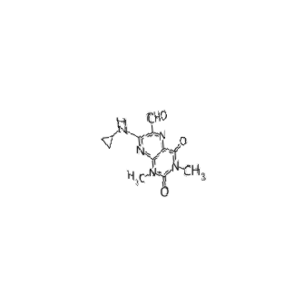 Cn1c(=O)c2nc(C=O)c(NC3CC3)nc2n(C)c1=O